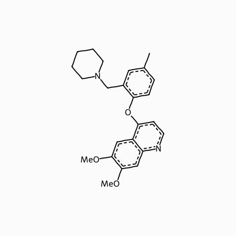 COc1cc2nccc(Oc3ccc(C)cc3CN3CCCCC3)c2cc1OC